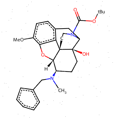 COc1ccc2c3c1O[C@H]1[C@H](N(C)Cc4ccccc4)CC[C@@]4(O)C(C2)N(C(=O)OC(C)(C)C)CC[C@]314